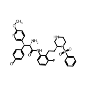 COc1ccc([C@H](c2ccc(Cl)cc2)[C@H](N)C(=O)Nc2cccc(F)c2CC[C@H]2CNCCN2S(=O)(=O)c2ccccc2)cn1